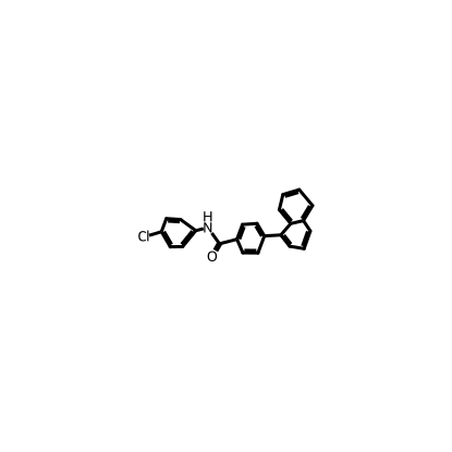 O=C(Nc1ccc(Cl)cc1)c1ccc(-c2cccc3ccccc23)cc1